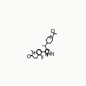 CC(=O)N1CCC([C@H](C)c2c[nH]nc2-c2ccc3c(c2F)CCC(=O)N3C)CC1